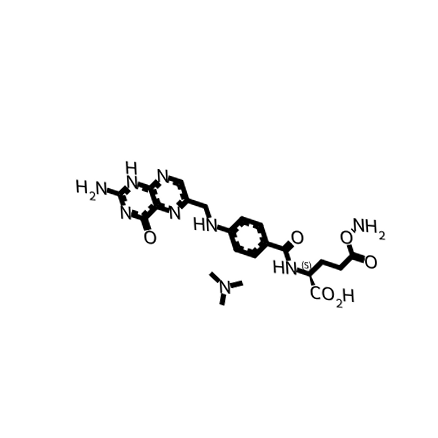 CN(C)C.NOC(=O)CC[C@H](NC(=O)c1ccc(NCc2cnc3[nH]c(N)nc(=O)c3n2)cc1)C(=O)O